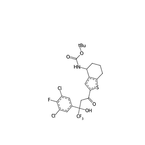 CC(C)(C)OC(=O)NC1CCCc2sc(C(=O)CC(O)(c3cc(Cl)c(F)c(Cl)c3)C(F)(F)F)cc21